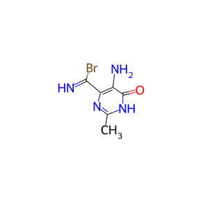 Cc1nc(C(=N)Br)c(N)c(=O)[nH]1